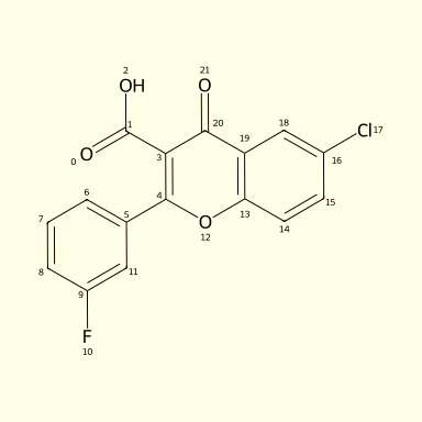 O=C(O)c1c(-c2cccc(F)c2)oc2ccc(Cl)cc2c1=O